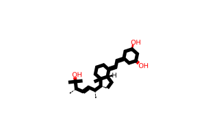 C[C@H](/C=C/[C@H](C)C(C)(C)O)[C@H]1CC[C@H]2/C(=C/C=C3\CC(O)C[C@H](O)C3)CCCC12C